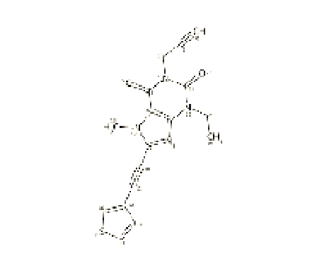 C#CCn1c(=O)c2c(nc(C#Cc3ccsc3)n2C)n(CC)c1=O